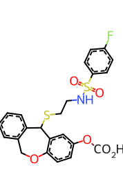 O=C(O)Oc1ccc2c(c1)C(SCCNS(=O)(=O)c1ccc(F)cc1)c1ccccc1CO2